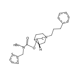 CCCCN(Cc1cccs1)C(=O)O[C@H]1C[N+]2(CCCc3ccccc3)CCC1CC2